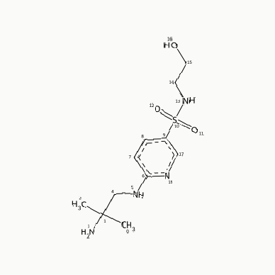 CC(C)(N)CNc1ccc(S(=O)(=O)NCCO)cn1